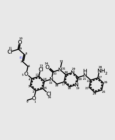 COc1cc(OC/C=C/C(=O)Cl)c(Cl)c(N2Cc3cnc(Nc4ccccc4N)nc3N(C)C2=O)c1Cl